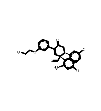 CCCOc1cccc(C2=C[C@](C=O)(c3ccc(Cl)cc3N)[C@H](c3cccc(Cl)c3)CC2=O)c1